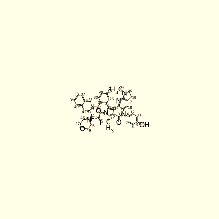 Cc1c(C(=O)N(c2ccc(O)cc2)c2cnc3c(c2)CCN3C)cc(-c2cc(F)ccc2C(=O)N2Cc3ccccc3C[C@H]2CN2CCOCC2)n1CC(F)F